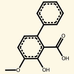 COc1ccc(-c2ccccc2)c(C(=O)O)c1O